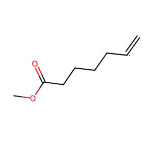 C=[C]CCCCC(=O)OC